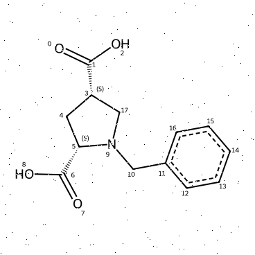 O=C(O)[C@H]1C[C@@H](C(=O)O)N(Cc2ccccc2)C1